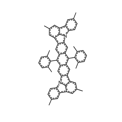 Cc1ccc2c(c1)c1cc(C)cc3c4cc5c(-c6c(C)cccc6C)c6cc7c(cc6c(-c6c(C)cccc6C)c5cc4n2c13)c1cc(C)cc2c3cc(C)ccc3n7c21